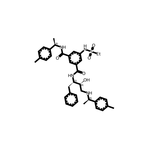 CCS(=O)(=O)Nc1cc(C(=O)N[C@@H](Cc2ccccc2)[C@H](O)CN[C@H](C)c2ccc(C)cc2)cc(C(=O)N[C@H](C)c2ccc(C)cc2)c1